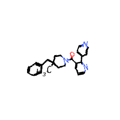 CC1(Cc2ccccc2)CCN(C(=O)c2cccnc2-c2ccncc2)CC1